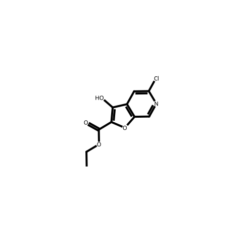 CCOC(=O)c1oc2cnc(Cl)cc2c1O